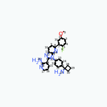 COc1ccc(F)c(-c2ccc3nc(-c4cccnc4N)n(-c4ccc(C5(N)CCC5)cc4)c3n2)c1